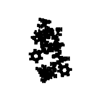 [2H]C([2H])([2H])O[C@H]1C[C@@]2(C)OC[C@@]2(OC(C)=O)[C@H]2[C@H](OC(=O)c3ccccc3)[C@]3(O)C[C@H](OC(=O)[C@H](O)[C@@H](NC(=O)OC(C([2H])([2H])[2H])(C([2H])([2H])[2H])C([2H])([2H])[2H])c4ccccc4)C(C)=C([C@@H](CO)C(=O)[C@]12C)C3(C)C